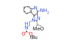 COC(C)c1nc2c(N)nc3ccccc3c2n1CCNC(=O)OC(C)(C)C